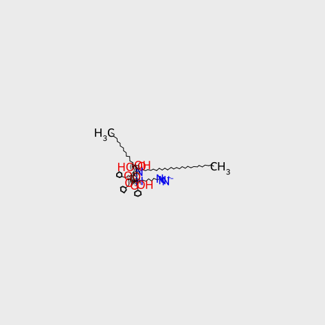 CCCCCCCCCCCCCCCCCCCCCCCCCC(=O)N[C@@H](C[C@H]1O[C@H](C(O)CCCCCCN=[N+]=[N-])[C@H](OCc2ccccc2)[C@H](OCc2ccccc2)[C@H]1OCc1ccccc1)[C@H](O)[C@H](O)CCCCCCCCCCCCCC